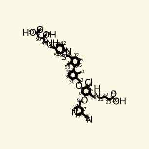 Cc1c(COc2cc(OCc3cncc(C#N)c3)c(CNCCCC(=O)O)cc2Cl)cccc1-c1cccc(-c2nc3ccc(CNCC(O)CC(=O)O)cc3s2)c1C